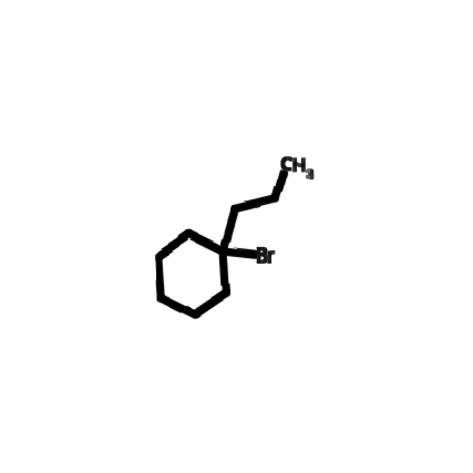 CCCC1(Br)CCCCC1